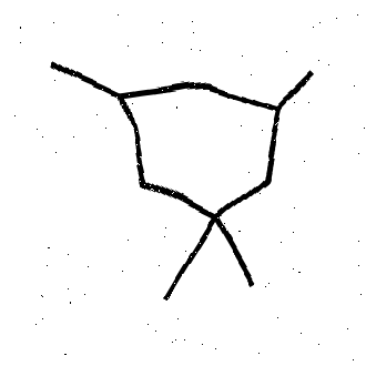 CC1CC(C)CC(C)(C)C1